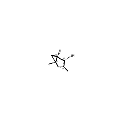 C[C@H]1C[C@@H]2C[C@@H]2[C@@H]1O